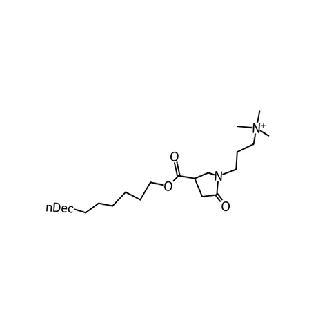 CCCCCCCCCCCCCCCCOC(=O)C1CC(=O)N(CCC[N+](C)(C)C)C1